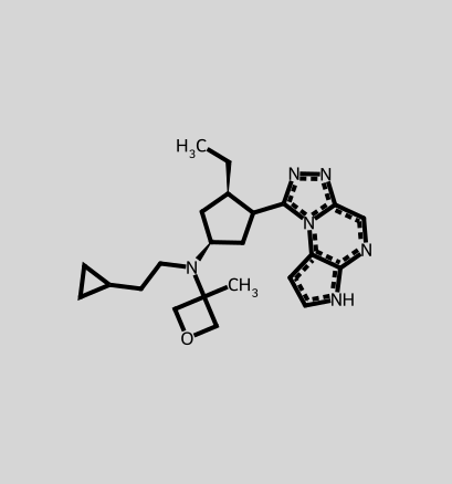 CC[C@@H]1C[C@H](N(CCC2CC2)C2(C)COC2)CC1c1nnc2cnc3[nH]ccc3n12